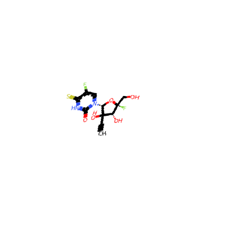 C#CC1(O)[C@@H](O)[C@@](F)(CO)O[C@H]1n1cc(F)c(=S)[nH]c1=O